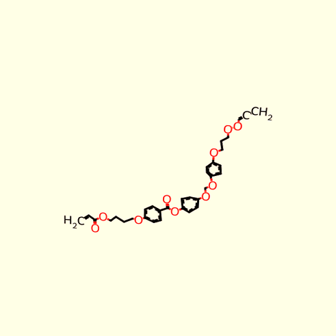 C=C=COOCCCOc1ccc(OCOc2ccc(OC(=O)c3ccc(OCCCCOC(=O)C=C)cc3)cc2)cc1